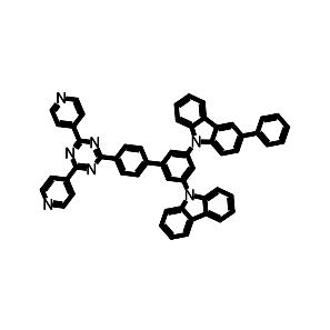 c1ccc(-c2ccc3c(c2)c2ccccc2n3-c2cc(-c3ccc(-c4nc(-c5ccncc5)nc(-c5ccncc5)n4)cc3)cc(-n3c4ccccc4c4ccccc43)c2)cc1